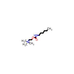 CCCCCCNC(=O)OCC[N+](C)(C)C